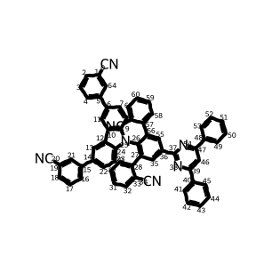 N#Cc1cccc(-c2ccc3c(c2)c2cc(-c4cccc(C#N)c4)ccc2n3-c2c(-c3ccccc3C#N)cc(-c3nc(-c4ccccc4)cc(-c4ccccc4)n3)cc2-c2ccccc2C#N)c1